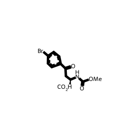 COC(=O)N[C@H](CC(=O)c1ccc(Br)cc1)C(=O)O